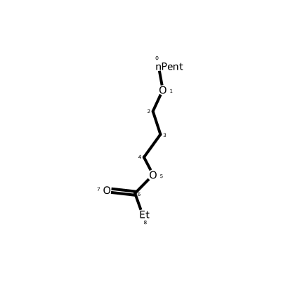 CCCCCOCCCOC(=O)CC